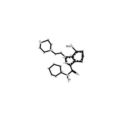 COc1cccc2c(C(=O)N(C(C)C)C3CCCCC3)nn(CCN3CCOCC3)c12